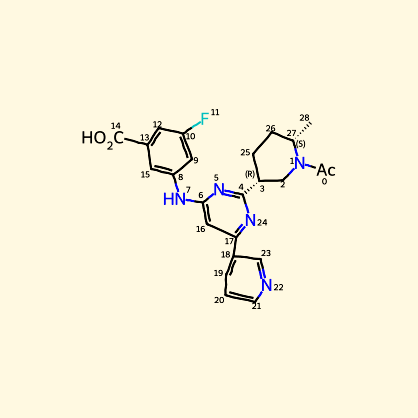 CC(=O)N1C[C@H](c2nc(Nc3cc(F)cc(C(=O)O)c3)cc(-c3cccnc3)n2)CC[C@@H]1C